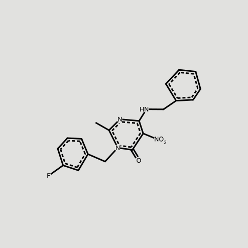 Cc1nc(NCc2ccccc2)c([N+](=O)[O-])c(=O)n1Cc1cccc(F)c1